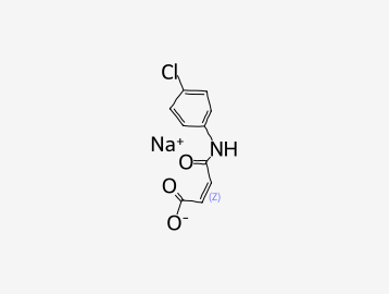 O=C([O-])/C=C\C(=O)Nc1ccc(Cl)cc1.[Na+]